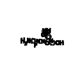 CNS(=O)(=O)c1ccc(N2CCCC(O)C2)c(C(=O)N2CCN(c3ccc(N)cc3F)CC2)c1